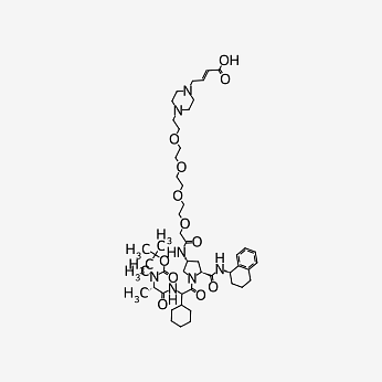 C[C@@H](C(=O)NC(C(=O)N1C[C@@H](NC(=O)COCCOCCOCCOCCN2CCN(C/C=C/C(=O)O)CC2)C[C@H]1C(=O)N[C@@H]1CCCc2ccccc21)C1CCCCC1)N(C)C(=O)OC(C)(C)C